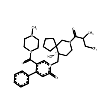 CC(CC(F)(F)F)C(=O)N1CC[C@@](O)(Cn2cc(C(=O)N3CCN(C)CC3)c(-c3ccccc3)cc2=O)C2(CCCC2)C1